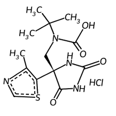 Cc1ncsc1[C@]1(CN(C(=O)O)C(C)(C)C)NC(=O)NC1=O.Cl